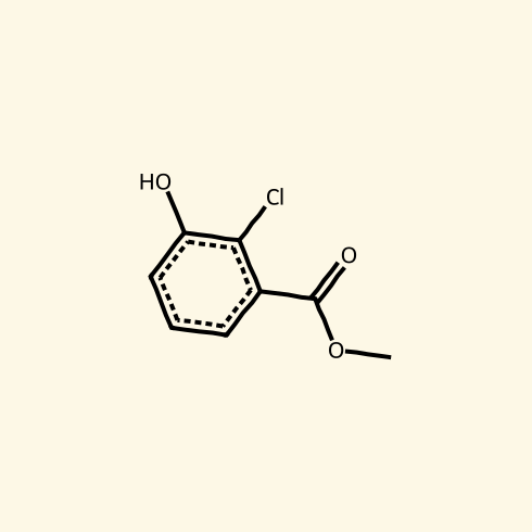 COC(=O)c1cccc(O)c1Cl